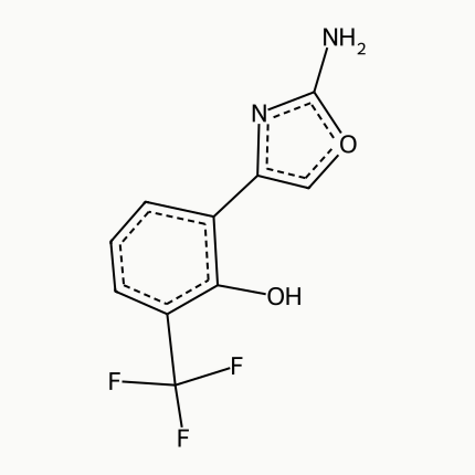 Nc1nc(-c2cccc(C(F)(F)F)c2O)co1